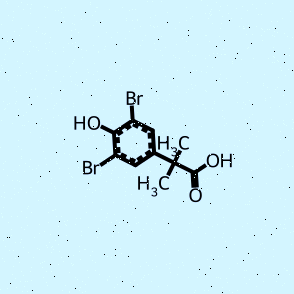 CC(C)(C(=O)O)c1cc(Br)c(O)c(Br)c1